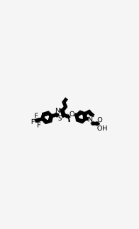 CCCc1nc(-c2ccc(C(F)(F)F)cc2)sc1[C@H](C)Oc1ccc2c(ccn2CC(=O)O)c1